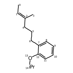 C/C=C(\C)CCCc1ccccc1OC(C)C